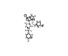 Cc1ccc(C(C)(C)N2CC[C@@](CCc3ccc(F)s3)(C3OC(=O)n4ccnc43)C2)cn1